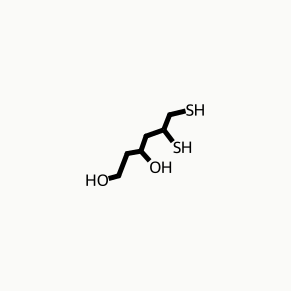 OCCC(O)CC(S)CS